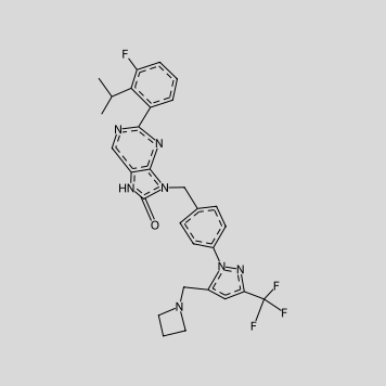 CC(C)c1c(F)cccc1-c1ncc2[nH]c(=O)n(Cc3ccc(-n4nc(C(F)(F)F)cc4CN4CCC4)cc3)c2n1